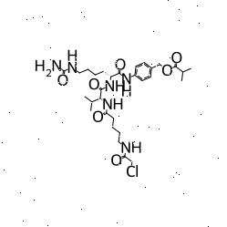 CC(C)C(=O)OCc1ccc(NC(=O)[C@@H](CCCCNC(N)=O)NC(=O)[C@H](NC(=O)CCCCNC(=O)CCl)C(C)C)cc1